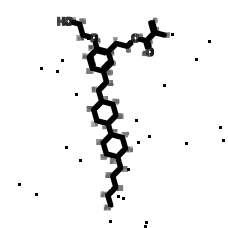 C=C(C)C(=O)OCCc1cc(CCC2CCC(C3CCC(CCCCC)CC3)CC2)ccc1OCCO